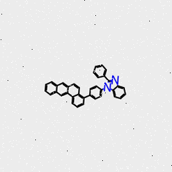 c1ccc(-c2nc3ccccc3n2-c2ccc(-c3cccc4c3ccc3cc5ccccc5cc34)cc2)cc1